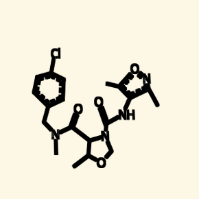 Cc1noc(C)c1NC(=O)N1COC(C)C1C(=O)N(C)Cc1ccc(Cl)cc1